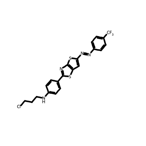 FC(F)(F)c1ccc(N=Nc2cc3sc(-c4ccc(NCCCCl)cc4)nc3s2)cc1